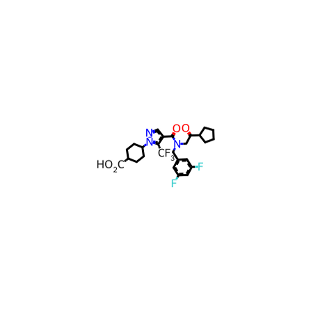 O=C(O)C1CCC(n2ncc(C(=O)N(CC(=O)C3CCCC3)Cc3cc(F)cc(F)c3)c2C(F)(F)F)CC1